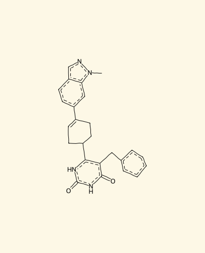 Cn1ncc2ccc(C3=CCC(c4[nH]c(=O)[nH]c(=O)c4Cc4ccccc4)CC3)cc21